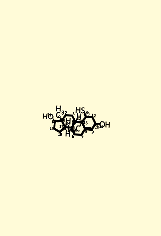 C[C@]12CC[C@H]3[C@@H](CCC4=C[C@H](O)CC(S)[C@@]43C)[C@@H]1CC[C@@H]2O